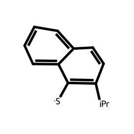 CC(C)c1ccc2ccccc2c1[S]